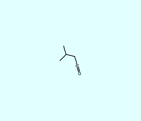 CC(C)[CH2][Zr]=[O]